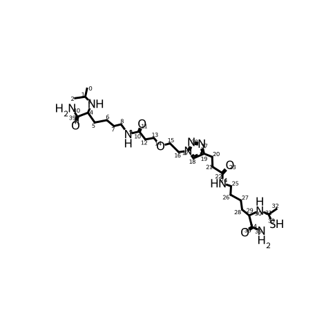 CC(C)NC(CCCCNC(=O)CCOCCn1cc(CCC(=O)NCCCCC(NC(C)S)C(N)=O)nn1)C(N)=O